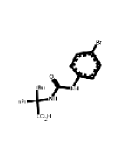 CCC[C@@](NC(=O)Nc1ccc(Br)cc1)(C(=O)O)C(C)(C)C